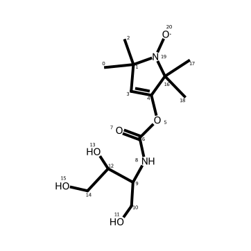 CC1(C)C=C(OC(=O)NC(CO)C(O)CO)C(C)(C)N1[O]